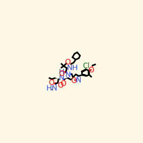 CCC[C@H](NC(=O)[C@@H]1C[C@]2(CC(c3cc(C)c(OCC)c(Cl)c3)=NO2)CN1C(=O)[C@@H](NC(=O)CC1CCCCC1)C(C)(C)C)C(=O)C(=O)NC